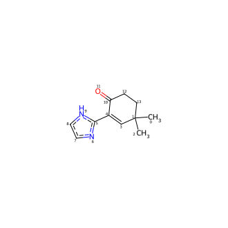 CC1(C)C=C(c2ncc[nH]2)C(=O)CC1